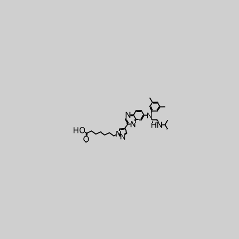 Cc1cc(C)cc(N(CCNC(C)C)c2ccc3ncc(-c4cnn(CCCCCCC(=O)O)c4)nc3c2)c1